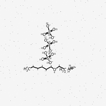 CCCCCCOCC.O=S(=O)([O-])[O-].O=S(=O)([O-])[O-].O=S(=O)([O-])[O-].[Al+3].[Al+3]